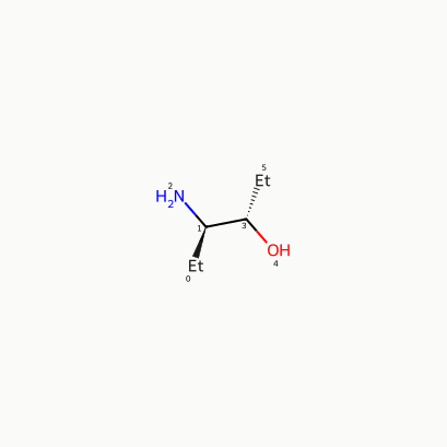 CC[C@@H](N)[C@@H](O)CC